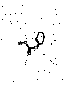 C[CH]COC(=O)OC1CCCCC1